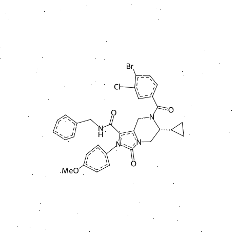 COc1ccc(-n2c(C(=O)NCc3ccccc3)c3n(c2=O)C[C@@H](C2CC2)N(C(=O)c2ccc(Br)c(Cl)c2)C3)cc1